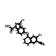 N#Cc1cc2c(cc1F)C(Oc1ccc3c(c1)c(I)nn3C(=O)O)CCC2